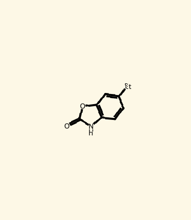 CCc1ccc2[nH]c(=O)oc2c1